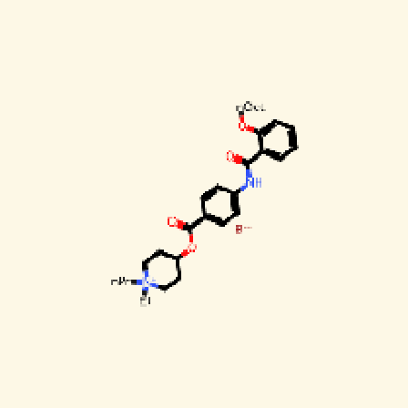 CCCCCCCCOc1ccccc1C(=O)Nc1ccc(C(=O)OC2CC[N+](CC)(CCC)CC2)cc1.[Br-]